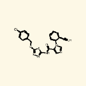 C#Cc1ccccc1-n1cncc1C(=O)Nc1nnc(OCc2ccc(Cl)cc2)s1